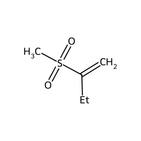 C=C(CC)S(C)(=O)=O